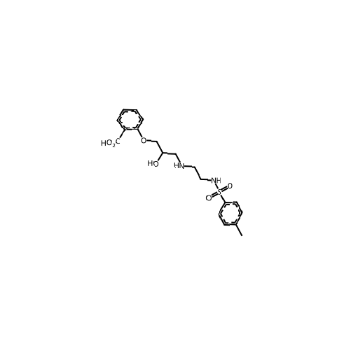 Cc1ccc(S(=O)(=O)NCCNCC(O)COc2ccccc2C(=O)O)cc1